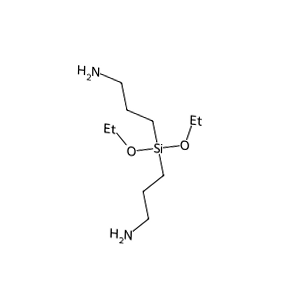 CCO[Si](CCCN)(CCCN)OCC